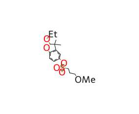 CCOC1Oc2ccc(OS(=O)(=O)CCCOC)cc2C1(C)C